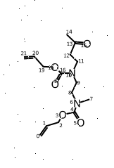 C=CCOC(=O)N(C)CCN(CCC(C)=O)C(=O)OCC=C